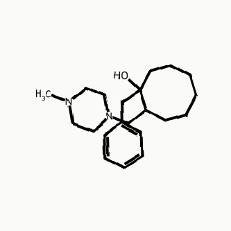 CN1CCN(CC2CCCCCCC2(O)Cc2ccccc2)CC1